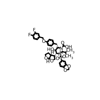 CC(C)CN(C([C@H](O)[C@H](Cc1ccc(OCc2ccc(F)c(F)c2)cc1)NC(=O)O)[C@@H]1CO[C@H]2OCC[C@H]21)S(=O)(=O)c1ccc2c(c1)OCO2